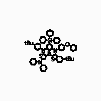 CC(C)(C)c1ccc(N2c3cc([Si](c4ccccc4)(c4ccccc4)c4ccccc4)cc4c3B(c3cc(N(c5ccccc5)c5ccccc5)sc32)c2sc3ccc(C(C)(C)C)cc3c2N4c2ccc(Oc3ccccc3)cc2)cc1